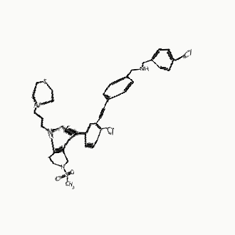 CS(=O)(=O)N1CCc2c(c(-c3ccc(Cl)c(C#Cc4ccc(CNCc5ccc(Cl)cc5)cc4)c3)nn2CCCN2CCSCC2)C1